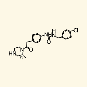 C[C@H]1CNCCN1C(=O)Cc1ccc(NC(=O)NCc2ccc(Cl)cc2)cc1